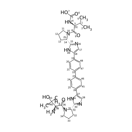 CC(C)[C@H](NC(=O)O)C(=O)N1CCC[C@H]1c1ncc(-c2ccc(-c3ccc(-c4cnc([C@@H]5CCCN5C(=O)[C@@H](N)C(C)(C)O)[nH]4)cc3)cc2)[nH]1